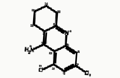 Nc1c2c(nc3cc(Cl)cc(Cl)c13)CCCC2